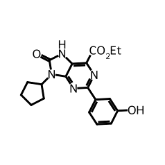 CCOC(=O)c1nc(-c2cccc(O)c2)nc2c1[nH]c(=O)n2C1CCCC1